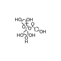 O=C(O[C@H]1Cc2c(O)cc(O)cc2O[C@@H]1c1cc(O)c(O)c(O)c1)c1ccc(O)cc1